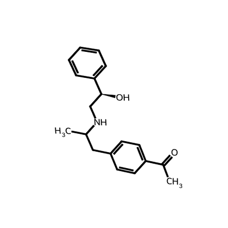 CC(=O)c1ccc(CC(C)NC[C@H](O)c2ccccc2)cc1